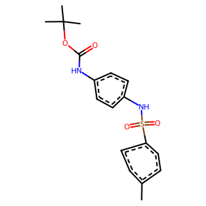 Cc1ccc(S(=O)(=O)Nc2ccc(NC(=O)OC(C)(C)C)cc2)cc1